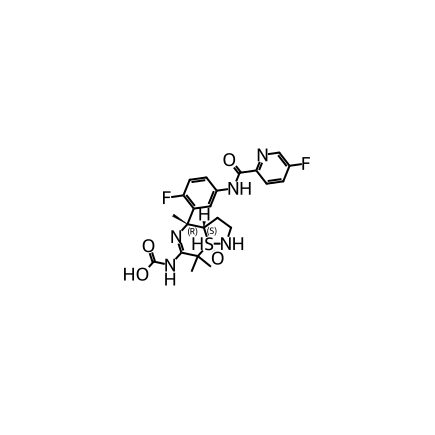 CC1(C)C(NC(=O)O)=N[C@](C)(c2cc(NC(=O)c3ccc(F)cn3)ccc2F)[C@@H]2CCN[SH]21=O